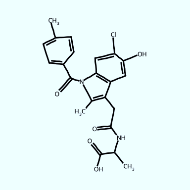 Cc1ccc(C(=O)n2c(C)c(CC(=O)NC(C)C(=O)O)c3cc(O)c(Cl)cc32)cc1